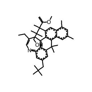 C=C(OC)C(C)(c1cc2c(C)cc(C)cc2c2c1C1=c3c(cc(CC(C)(C)C)cc3=NC=C(CC)C1)C2(C)C)C(C)(C)CO